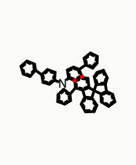 c1ccc(-c2ccc(N(c3ccc(-c4ccccc4)cc3)c3ccccc3-c3cccc4c3-c3ccccc3C43c4ccccc4-c4ccccc43)cc2)cc1